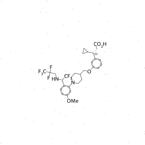 COc1ccc(C(NCC(F)(F)C(F)(F)F)C(F)(F)F)c(N2CCC(COc3cccc([C@@H](CC(=O)O)C4CC4)c3)CC2)c1